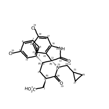 O=C(O)C[C@H]1C[C@H](c2cccc(Cl)c2)[C@@]2(C(=O)Nc3cc(Cl)ccc32)N(CC2CC2)C1=O